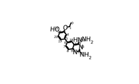 CCOc1cc(-c2ccc3nc(N)nc(NN)c3c2)ccc1O